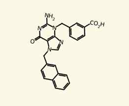 Nc1nc(=O)c2c(ncn2Cc2ccc3ccccc3c2)n1Cc1cccc(C(=O)O)c1